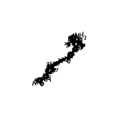 CC(C)n1nc(-c2noc(C3CC3)c2-c2ccc(C3CCN(C(=O)CCCCCCCN4[C@H](C)CC(c5ccc(NC6CCC(=O)NC6=O)cc5)C[C@@H]4C)CC3)cn2)c2c(N)ncnc21